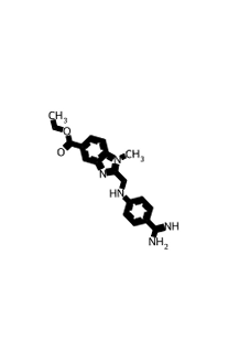 CCOC(=O)c1ccc2c(c1)nc(CNc1ccc(C(=N)N)cc1)n2C